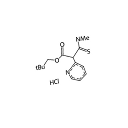 CNC(=S)C(C(=O)OCC(C)(C)C)c1ccccn1.Cl